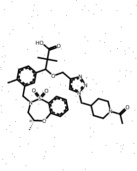 CC(=O)N1CCC(Cn2cc(COC(c3ccc(C)c(CN4C[C@@H](C)Oc5ccccc5S4(=O)=O)c3)C(C)(C)C(=O)O)nn2)CC1